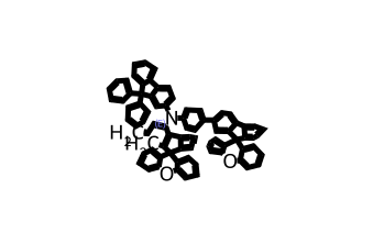 C=C/C=C(\C1=C(C)C2(c3ccccc3Oc3ccccc32)c2ccccc21)N(c1ccc(-c2ccc3c(c2)C2(c4ccccc4Oc4ccccc42)c2ccccc2-3)cc1)c1ccc2c(c1)C(c1ccccc1)(c1ccccc1)c1ccccc1-2